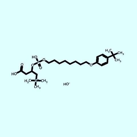 CC(C)(C)c1ccc(OCCCCCCCCOP(=O)(O)OC(CC(=O)O)C[N+](C)(C)C)cc1.[OH-]